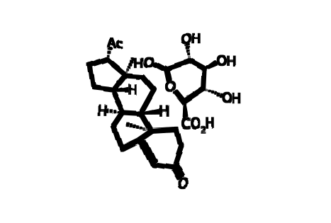 CC(=O)[C@H]1CC[C@H]2[C@@H]3CCC4=CC(=O)CC[C@]4(C)[C@H]3CC[C@]12C.O=C(O)[C@H]1OC(O)[C@H](O)[C@@H](O)[C@@H]1O